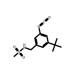 CC(C)(C)c1cc(CNS(C)(=O)=O)cc(N=C=O)c1